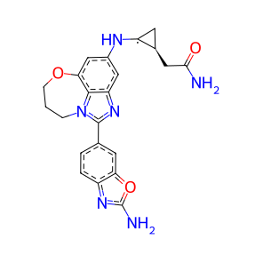 NC(=O)C[C@@H]1C[C]1Nc1cc2c3c(c1)nc(-c1ccc4nc(N)oc4c1)n3CCCO2